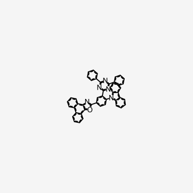 c1ccc(-c2nc(-c3ccccc3)nc(-c3cc(-c4nc5c6ccccc6c6ccccc6c5o4)ccc3-n3c4ccccc4c4ccccc43)n2)cc1